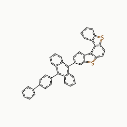 c1ccc(-c2ccc(-c3c4ccccc4c(-c4ccc5c(c4)sc4ccc6sc7ccccc7c6c45)c4ccccc34)cc2)cc1